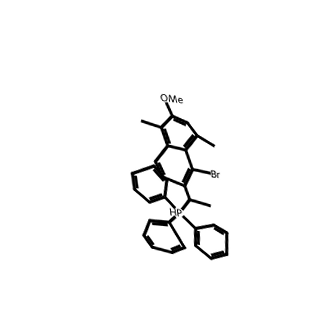 COc1cc(C)c2c(Br)c(C(C)[PH](c3ccccc3)(c3ccccc3)c3ccccc3)ccc2c1C